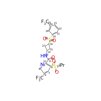 CC(C)S(=O)(=O)c1cc(C(F)(F)F)cnc1C(=O)NC1CC(S(=O)(=O)c2cccc(C(F)(F)F)c2)C1